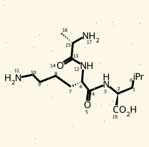 CC(C)C[C@H](NC(=O)[C@H](CCCCN)NC(=O)[C@H](C)N)C(=O)O